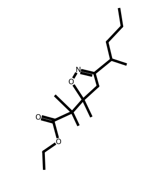 CCCC(C)C1=NOC(C)(C(C)(C)C(=O)OCC)C1